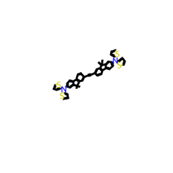 CC1(C)c2cc(C#Cc3ccc4c(c3)C(C)(C)c3cc(N(c5cccs5)c5cccs5)ccc3-4)ccc2-c2ccc(N(c3cccs3)c3cccs3)cc21